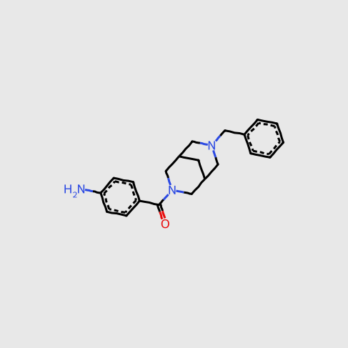 Nc1ccc(C(=O)N2CC3CC(CN(Cc4ccccc4)C3)C2)cc1